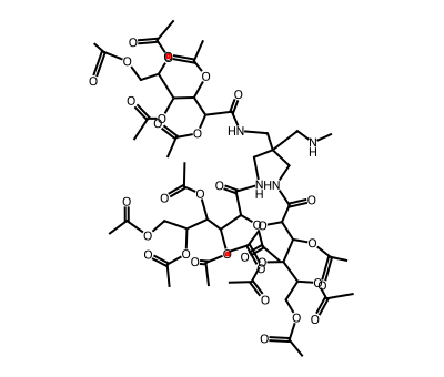 CNCC(CNC(=O)C(OC(C)=O)C(OC(C)=O)C(OC(C)=O)C(COC(C)=O)OC(C)=O)(CNC(=O)C(OC(C)=O)C(OC(C)=O)C(OC(C)=O)C(COC(C)=O)OC(C)=O)CNC(=O)C(OC(C)=O)C(OC(C)=O)C(OC(C)=O)C(COC(C)=O)OC(C)=O